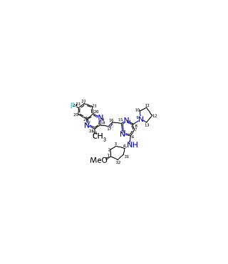 CO[C@H]1CC[C@H](Nc2cc(N3CCCC3)nc(/C=C/c3nc4ccc(F)cc4nc3C)n2)CC1